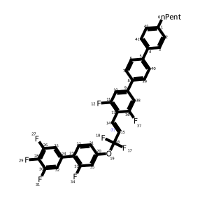 CCCCCc1ccc(-c2ccc(-c3cc(F)c(/C=C/C(F)(F)Oc4ccc(-c5cc(F)c(F)c(F)c5)c(F)c4)c(F)c3)cc2)cc1